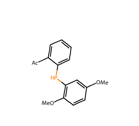 COc1ccc(OC)c(Pc2ccccc2C(C)=O)c1